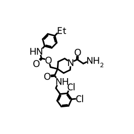 CCc1ccc(NC(=O)OCC2(C(=O)NCc3cccc(Cl)c3Cl)CCN(C(=O)CN)CC2)cc1